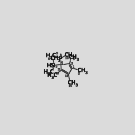 CC1=C(C)C([SiH](C)C)(P(C)C)C(C)=C1C